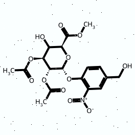 COC(=O)[C@H]1O[C@H](Oc2ccc(CO)cc2[N+](=O)[O-])[C@H](OC(C)=O)[C@@H](OC(C)=O)C1O